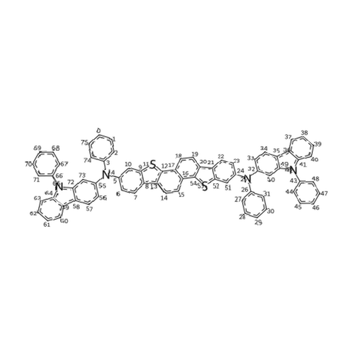 c1ccc(N(c2ccc3c(c2)sc2c3ccc3c2ccc2c4ccc(N(c5ccccc5)c5ccc6c7ccccc7n(-c7ccccc7)c6c5)cc4sc23)c2ccc3c4ccccc4n(-c4ccccc4)c3c2)cc1